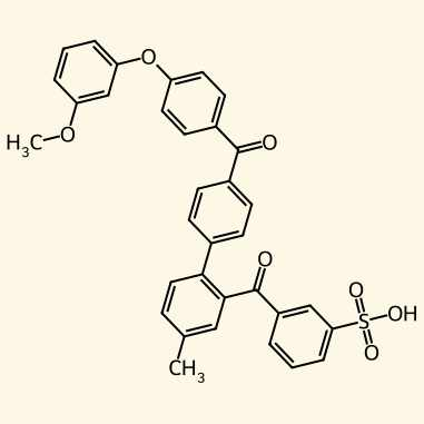 COc1cccc(Oc2ccc(C(=O)c3ccc(-c4ccc(C)cc4C(=O)c4cccc(S(=O)(=O)O)c4)cc3)cc2)c1